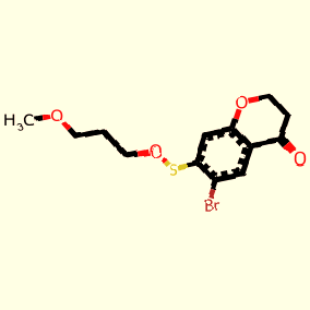 COCCCOSc1cc2c(cc1Br)C(=O)CCO2